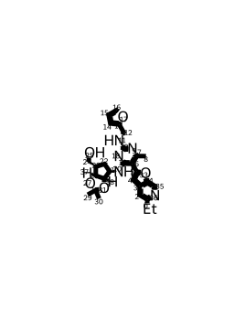 CCc1cc2cc(-c3c(C)nc(NCc4ccco4)nc3N[C@@H]3C[C@H](CO)[C@H]4OC(C)(C)O[C@H]43)oc2cn1